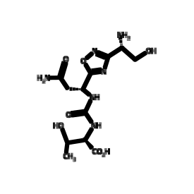 CC(O)[C@@H](NC(=O)N[C@H](CC(N)=O)c1nc([C@H](N)CO)no1)C(=O)O